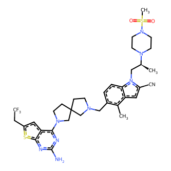 Cc1c(CN2CCC3(CCN(c4nc(N)nc5sc(CC(F)(F)F)cc45)C3)C2)ccc2c1cc(C#N)n2C[C@H](C)N1CCN(S(C)(=O)=O)CC1